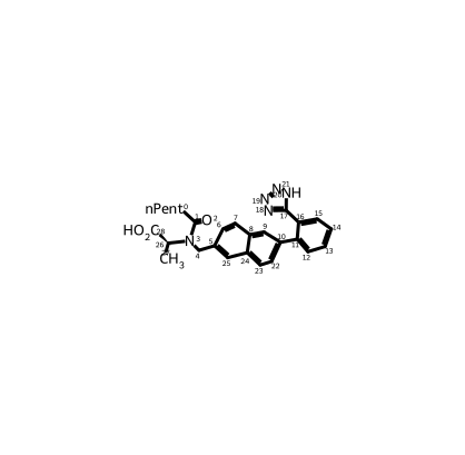 CCCCCC(=O)N(Cc1ccc2cc(-c3ccccc3-c3nnn[nH]3)ccc2c1)[C@@H](C)C(=O)O